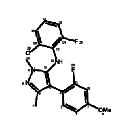 COc1ccc(-c2c(C)nn(C)c2Nc2c(F)cccc2Cl)c(F)c1